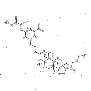 C=C(C)C(=O)OC(CCC[C@H]1CC[C@@]2(C)[C@@H](CC[C@@H]3[C@@H]2CC[C@]2(C)C([C@H](C)CCCC(C)C)CC[C@@H]32)C1)CCOC(=O)C(=C)CO